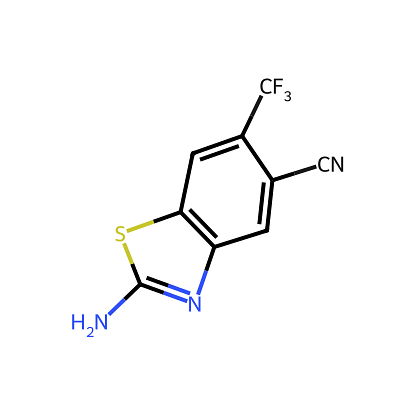 N#Cc1cc2nc(N)sc2cc1C(F)(F)F